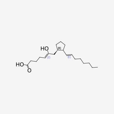 CCCCCC/C=C/C1CCC[C@@H]1C/C(O)=C/CCCC(=O)O